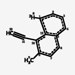 [2H]c1cccc2ccc(C)c(C#C)c12